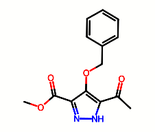 COC(=O)c1n[nH]c(C(C)=O)c1OCc1ccccc1